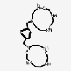 c1cc(CN2CCNCCNCCNCC2)ccc1CN1CCNCCNCCNCC1